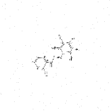 Fc1c(F)c(F)c(C=CNc2ccccc2Cl)c(F)c1F